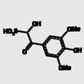 COc1cc(C(=O)C(O)S(=O)(=O)O)cc(OC)c1O